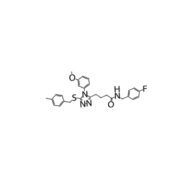 COc1cccc(-n2c(CCCC(=O)NCc3ccc(F)cc3)nnc2SCc2ccc(C)cc2)c1